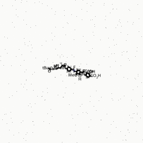 COc1c(/C=C(\F)c2ccc(NC(=O)[C@@H](C)Cc3cn(COC(=O)C(C)(C)C)nn3)cc2)ccc(C(=O)Nc2ccc(C(=O)O)c(O)c2OC)c1O